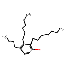 CCCCCCCc1c(O)ccc(CCCC)c1CCCCCC